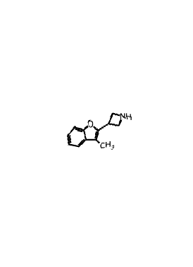 Cc1c(C2CNC2)oc2ccccc12